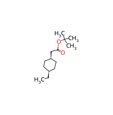 CC[C@H]1CC[C@@H](CC(=O)OC(C)(C)C)CC1